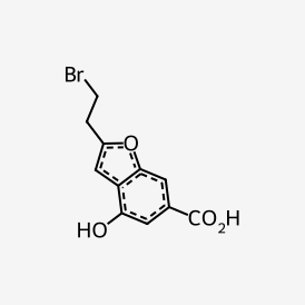 O=C(O)c1cc(O)c2cc(CCBr)oc2c1